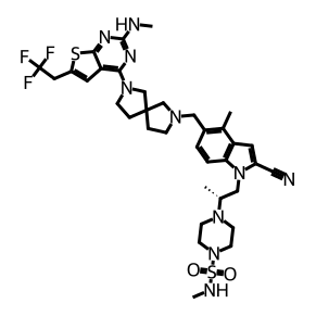 CNc1nc(N2CCC3(CCN(Cc4ccc5c(cc(C#N)n5C[C@@H](C)N5CCN(S(=O)(=O)NC)CC5)c4C)C3)C2)c2cc(CC(F)(F)F)sc2n1